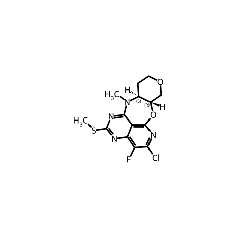 CSc1nc2c3c(nc(Cl)c(F)c3n1)O[C@H]1COCC[C@@H]1N2C